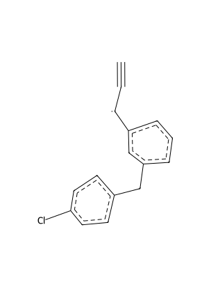 C#C[CH]c1cccc(Cc2ccc(Cl)cc2)c1